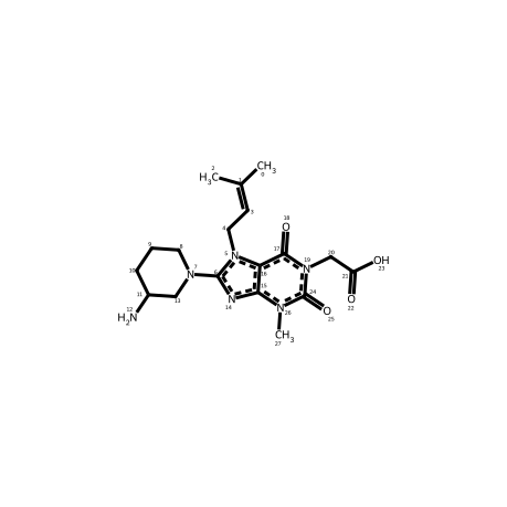 CC(C)=CCn1c(N2CCCC(N)C2)nc2c1c(=O)n(CC(=O)O)c(=O)n2C